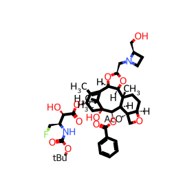 CC(=O)O[C@@]12CO[C@@H]1CC[C@@]1(C)[C@@H]3O[C@H](CN4CC[C@@H]4CO)O[C@@H]3C3=C(C)[C@@H](OC(=O)[C@H](O)[C@H](CF)NC(=O)OC(C)(C)C)C[C@@](O)([C@@H](OC(=O)c4ccccc4)[C@@H]12)C3(C)C